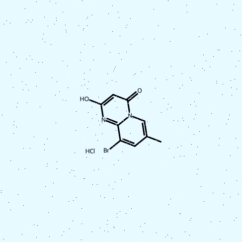 Cc1cc(Br)c2nc(O)cc(=O)n2c1.Cl